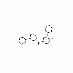 O=C(c1ccc(F)c(-c2ccccc2)c1)c1ccc(F)c(-c2ccccc2)c1